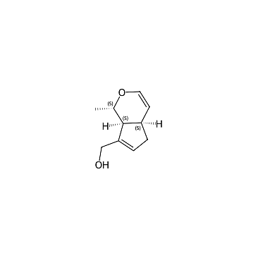 C[C@@H]1OC=C[C@H]2CC=C(CO)[C@@H]12